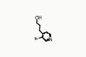 OCCCc1ccncc1Br